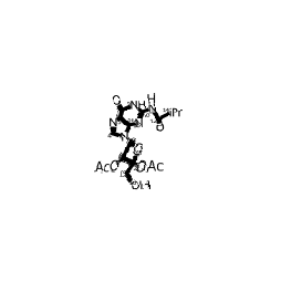 CC(=O)O[C@H]1[C@H](n2cnc3c(=O)[nH]c(NC(=O)C(C)C)nc32)O[C@@]1(CO)OC(C)=O